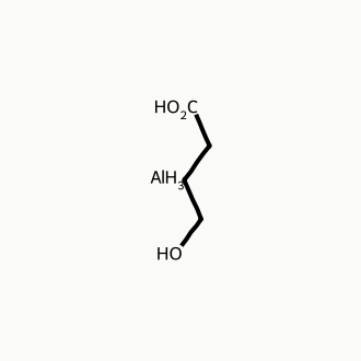 O=C(O)CCCO.[AlH3]